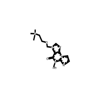 CCCn1c(=O)c2c(ncn2COCC[Si](C)(C)C)n2ccnc12